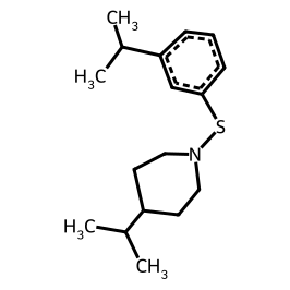 CC(C)c1cccc(SN2CCC(C(C)C)CC2)c1